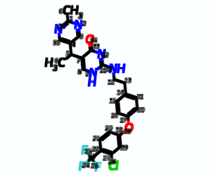 Cc1ncc(C(C)c2c[nH]c(NCCc3ccc(Oc4ccc(C(F)(F)F)c(Cl)c4)cc3)nc2=O)cn1